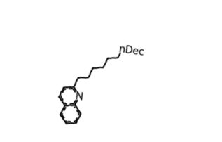 CCCCCCCCCCCCCCCCc1ccc2ccccc2n1